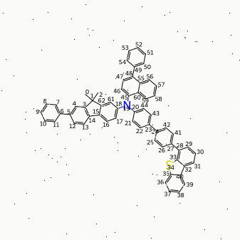 CC1(C)c2cc(-c3ccccc3)ccc2-c2ccc(N(c3ccc(-c4ccc(-c5cccc6c5sc5ccccc56)cc4)cc3)c3ccc(-c4ccccc4)c4ccccc34)cc21